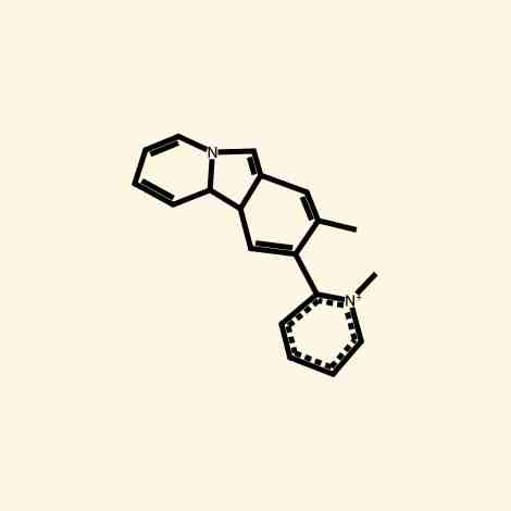 CC1=CC2=CN3C=CC=CC3C2C=C1c1cccc[n+]1C